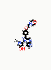 CC(=O)N1C[C@H](O)C[C@@H]1c1nc(-c2ccc(OCCN3CCOCC3)cc2)c2cnc3[nH]ccc3n12